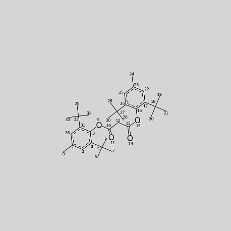 Cc1cc(C(C)(C)C)c(OC(=O)CC(=O)Oc2c(C(C)(C)C)cc(C)cc2C(C)(C)C)c(C(C)(C)C)c1